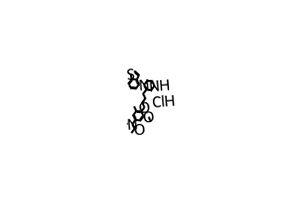 COc1cc(N(C)C(C)=O)cc(C)c1OCCCC1CNCCN1c1cccc2sccc12.Cl